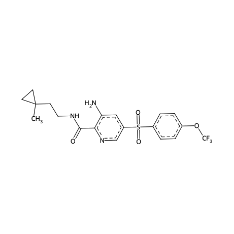 CC1(CCNC(=O)c2ncc(S(=O)(=O)c3ccc(OC(F)(F)F)cc3)cc2N)CC1